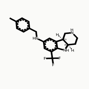 Cc1ccc(CNc2cc3c(c(C(F)(F)F)c2)N[C@@H]2CCNC[C@H]32)cc1